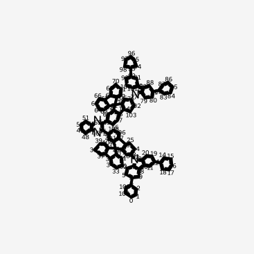 c1ccc(-c2ccc3c(c2)c2cc(-c4ccccc4)ccc2n3-c2ccc3c(c2)C2(c4ccccc4-c4ccccc42)c2cc(-c4nc5ccccc5nc4-c4ccc5c(c4)C4(c6ccccc6-c6ccccc64)c4cc(-n6c7ccc(-c8ccccc8)cc7c7cc(-c8ccccc8)ccc76)ccc4-5)ccc2-3)cc1